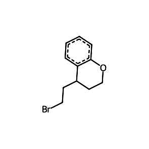 BrCCC1CCOc2ccccc21